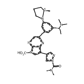 CC(c1cc(-c2cnc3c(n2)c(-c2cnn(C(=O)N(C)C)c2)cn3C(=O)O)cc(N2CCC[C@H]2C)c1)N(C)C